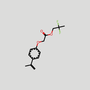 C=C(C)c1ccc(OCC(=O)OCC(C)(F)F)cc1